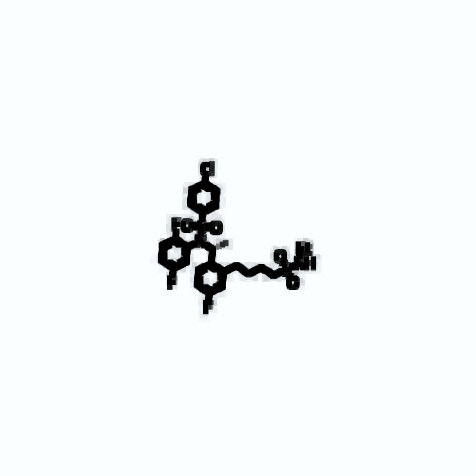 CCNS(=O)(=O)CCCCc1cc(F)ccc1[C@@H](C)N(c1cc(F)ccc1F)S(=O)(=O)c1ccc(Cl)cc1